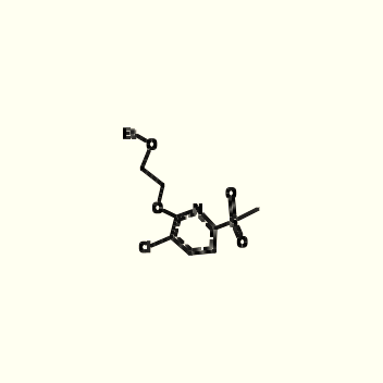 CCOCCOc1nc(S(C)(=O)=O)ccc1Cl